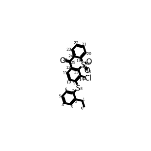 CCc1ccccc1Sc1ccc2c(c1Cl)S(=O)(=O)c1ccccc1C2=O